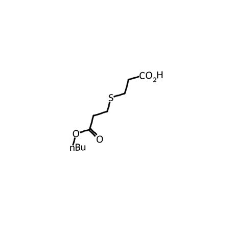 CCCCOC(=O)CCSCCC(=O)O